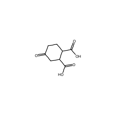 O=C1CCC(C(=O)O)C(C(=O)O)C1